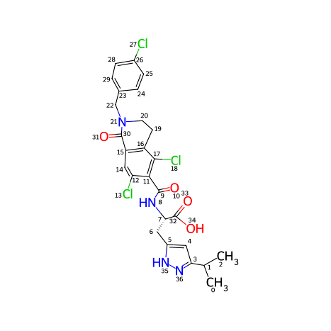 CC(C)c1cc(C[C@H](NC(=O)c2c(Cl)cc3c(c2Cl)CCN(Cc2ccc(Cl)cc2)C3=O)C(=O)O)[nH]n1